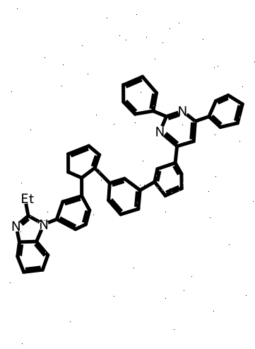 CCc1nc2ccccc2n1-c1cccc(C2CC=CC=C2c2cccc(-c3cccc(-c4cc(-c5ccccc5)nc(-c5ccccc5)n4)c3)c2)c1